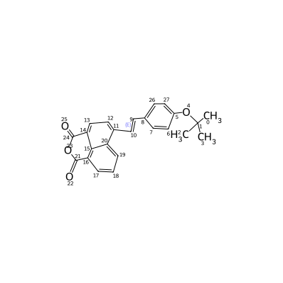 CC(C)(C)Oc1ccc(/C=C/c2ccc3c4c(cccc24)C(=O)OC3=O)cc1